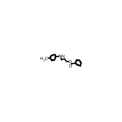 Cc1ccc(NCCCOC(=O)c2ccccc2)cc1